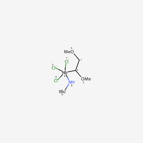 COC[CH](OC)[Nb]([Cl])([Cl])([Cl])[NH]C(C)(C)C